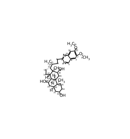 COc1cc2cnc(CC[C@@H](C)[C@H]3CC[C@H]4[C@@H]5[C@H](O)C[C@@H]6C[C@H](O)CC[C@]6(C)[C@H]5C[C@H](O)[C@]34C)nc2cc1OC